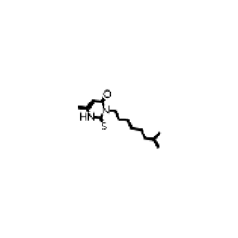 Cc1cc(=O)n(CCCCCCC(C)C)c(=S)[nH]1